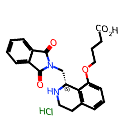 Cl.O=C(O)CCCOc1cccc2c1[C@@H](CN1C(=O)c3ccccc3C1=O)NCC2